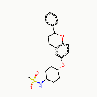 CS(=O)(=O)N[C@H]1CC[C@H](Oc2ccc3c(c2)CCC(c2ccccc2)O3)CC1